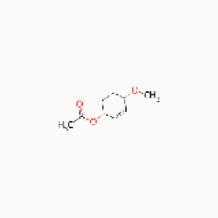 COC1C=CC(OC(C)=O)CC1